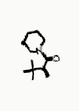 C=C(C(=O)N1CCCCC1)C(C)(C)C